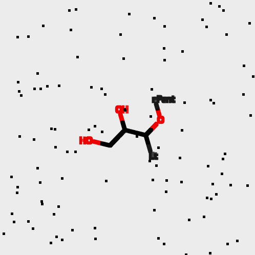 CCCCCOC(CC)C(O)CO